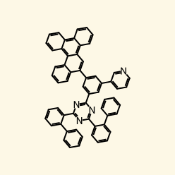 c1ccc(-c2ccccc2-c2nc(-c3cc(-c4cccnc4)cc(-c4cc5c6ccccc6c6ccccc6c5c5ccccc45)c3)nc(-c3ccccc3-c3ccccc3)n2)cc1